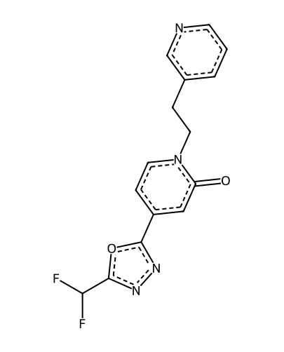 O=c1cc(-c2nnc(C(F)F)o2)ccn1CCc1cccnc1